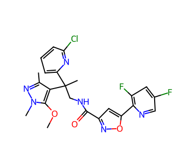 COc1c(C(C)(CNC(=O)c2cc(-c3ncc(F)cc3F)on2)c2cccc(Cl)n2)c(C)nn1C